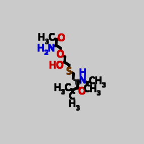 CC(=O)C(N)COCC(O)CSCC[C@H](NC(C)C)C(=O)C(C)C